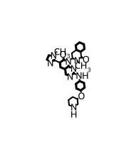 CN1C(=O)c2ccccc2CC1n1c(=O)c(-c2nccn2C)cc2cnc(Nc3ccc(OC4CCCNC4)cc3)nc21